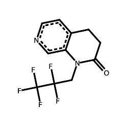 O=C1CCc2ccncc2N1CC(F)(F)C(F)(F)F